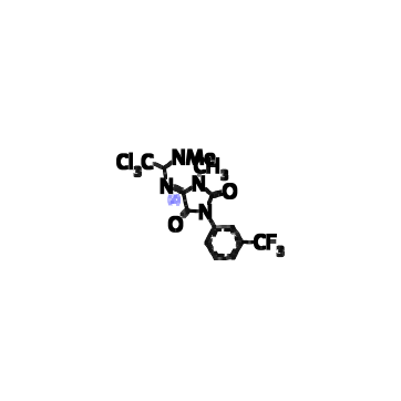 CNC(/N=C1/C(=O)N(c2cccc(C(F)(F)F)c2)C(=O)N1C)C(Cl)(Cl)Cl